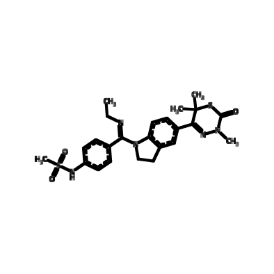 CCN=C(c1ccc(NS(C)(=O)=O)cc1)N1CCc2cc(C3=NN(C)C(=O)SC3(C)C)ccc21